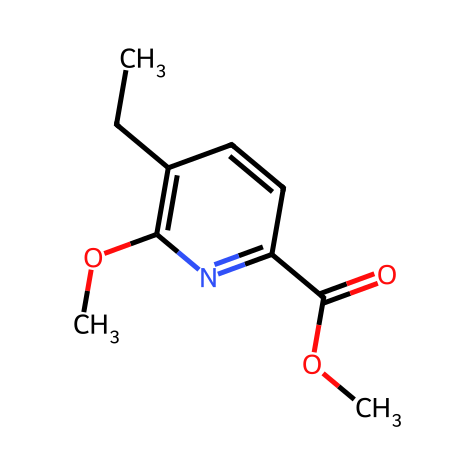 CCc1ccc(C(=O)OC)nc1OC